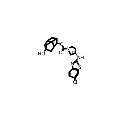 O=C(OC1C2CC3CC1CC(O)(C3)C2)N1CC[C@@H](Nc2nc3ccc(Cl)cc3s2)C1